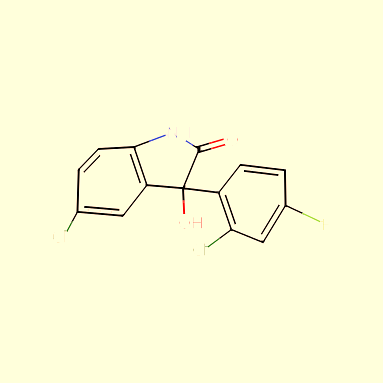 O=C1Nc2ccc(Cl)cc2C1(O)c1ccc(F)cc1Cl